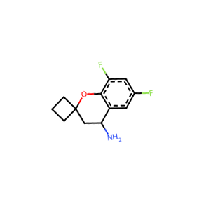 NC1CC2(CCC2)Oc2c(F)cc(F)cc21